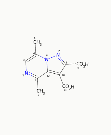 Cc1ncc(C)n2nc(C(=O)O)c(C(=O)O)c12